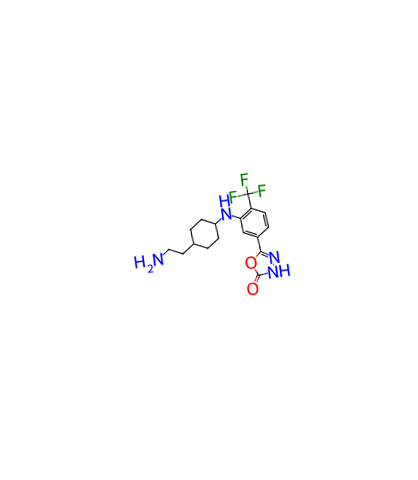 NCCC1CCC(Nc2cc(-c3n[nH]c(=O)o3)ccc2C(F)(F)F)CC1